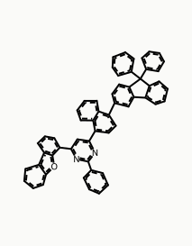 c1ccc(-c2nc(-c3ccc(-c4ccc5c(c4)-c4ccccc4C5(c4ccccc4)c4ccccc4)c4ccccc34)cc(-c3cccc4c3oc3ccccc34)n2)cc1